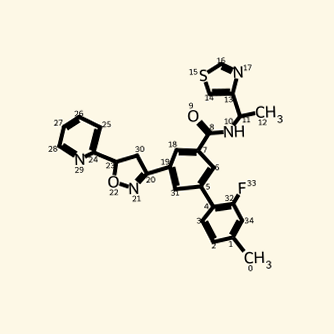 Cc1ccc(-c2cc(C(=O)NC(C)c3cscn3)cc(C3=NOC(c4ccccn4)C3)c2)c(F)c1